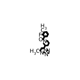 Cc1cc(C2CCCN(C(=O)c3cccc(C)c3F)C2)n2ncnc2n1